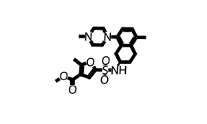 COC(=O)c1cc(S(=O)(=O)N[C@@H]2CCc3c(C)ccc(N4CCN(C)CC4)c3C2)oc1C